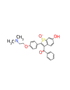 CN(C)CCOc1ccc(-c2c(C(=O)c3ccccc3)c3ccc(O)cc3[s+]2[O-])cc1